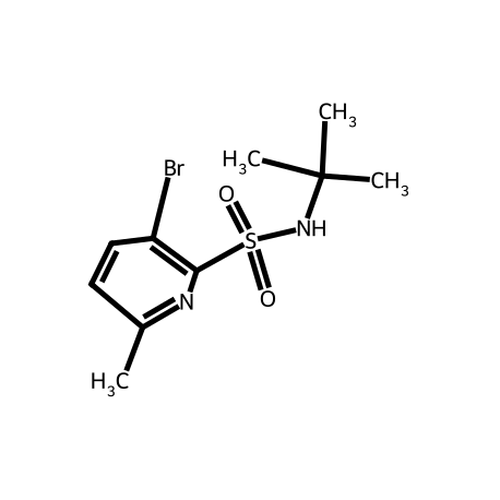 Cc1ccc(Br)c(S(=O)(=O)NC(C)(C)C)n1